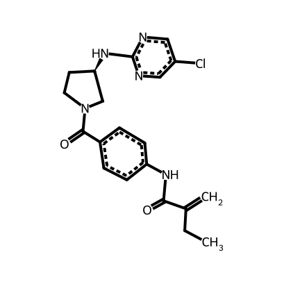 C=C(CC)C(=O)Nc1ccc(C(=O)N2CC[C@@H](Nc3ncc(Cl)cn3)C2)cc1